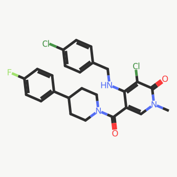 Cn1cc(C(=O)N2CCC(c3ccc(F)cc3)CC2)c(NCc2ccc(Cl)cc2)c(Cl)c1=O